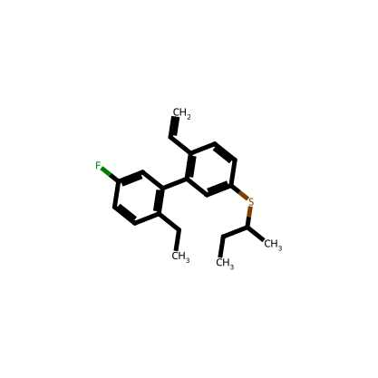 C=Cc1ccc(SC(C)CC)cc1-c1cc(F)ccc1CC